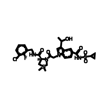 CC(O)c1cn(CC(=O)N2C[Si](C)(C)C[C@H]2C(=O)NCc2cccc(Cl)c2F)c2ccc(C(=O)NS(=O)(=O)C3CC3)cc12